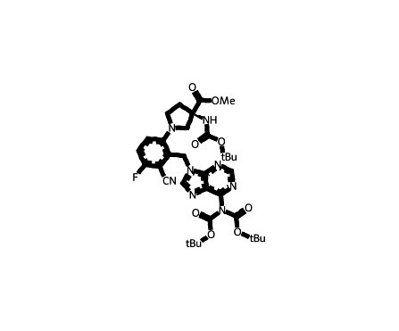 COC(=O)[C@@]1(NC(=O)OC(C)(C)C)CCN(c2ccc(F)c(C#N)c2Cn2cnc3c(N(C(=O)OC(C)(C)C)C(=O)OC(C)(C)C)ncnc32)C1